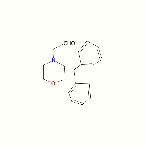 O=[C]CN1CCOCC1.[CH](c1ccccc1)c1ccccc1